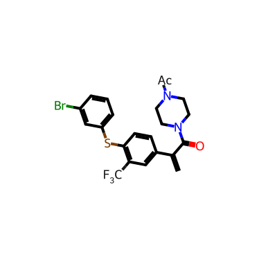 C=C(C(=O)N1CCN(C(C)=O)CC1)c1ccc(Sc2cccc(Br)c2)c(C(F)(F)F)c1